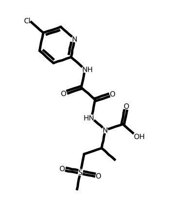 CC(CS(C)(=O)=O)N(NC(=O)C(=O)Nc1ccc(Cl)cn1)C(=O)O